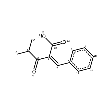 CC(C)C(=O)C(=Cc1ccccc1)C(=O)O